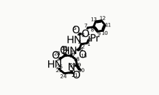 CC(C)CC(NC(=O)OCc1ccccc1)C(=O)NC1Cc2coc(n2)CCNC(=O)C1=O